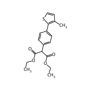 CCOC(=O)C(C(=O)OCC)c1ccc(-c2sccc2C)cc1